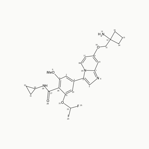 COc1cc(-c2cnc3cc(OCC4(N)CCC4)ccn23)cc(OC(F)F)c1C(=O)NC1CC1